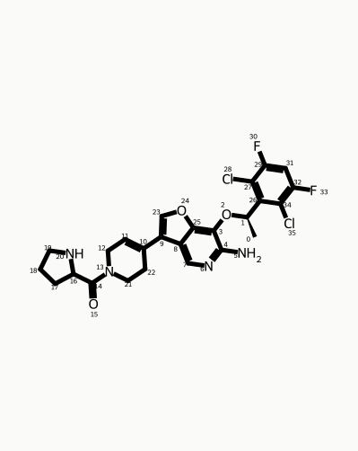 C[C@@H](Oc1c(N)ncc2c(C3=CCN(C(=O)C4CCCN4)CC3)coc12)c1c(Cl)c(F)cc(F)c1Cl